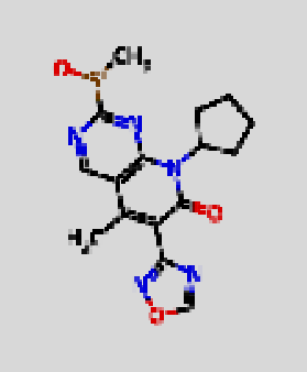 Cc1c(-c2ncon2)c(=O)n(C2CCCC2)c2nc([S+](C)[O-])ncc12